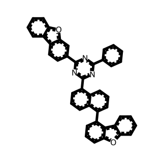 c1ccc(-c2nc(-c3ccc4c(c3)oc3ccccc34)nc(-c3cccc4c(-c5cccc6oc7ccccc7c56)cccc34)n2)cc1